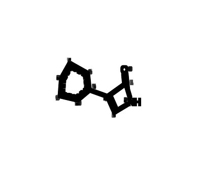 O=C1NC=C1c1ccccc1